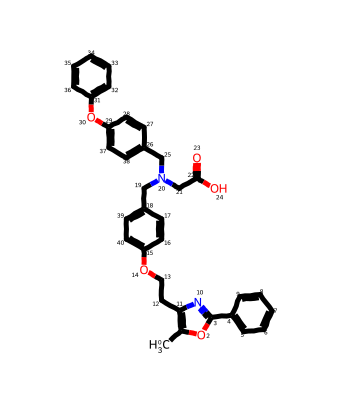 Cc1oc(-c2ccccc2)nc1CCOc1ccc(CN(CC(=O)O)Cc2ccc(Oc3ccccc3)cc2)cc1